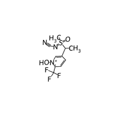 CC(c1ccc(C(F)(F)F)[n+](O)c1)S(C)(=O)=NC#N